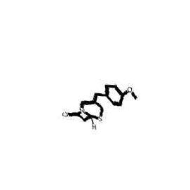 COc1ccc(CC2=CN3C(=O)C[C@H]3SC2)cc1